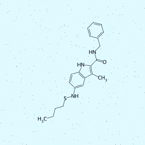 CCCCSNc1ccc2[nH]c(C(=O)NCc3ccccc3)c(C)c2c1